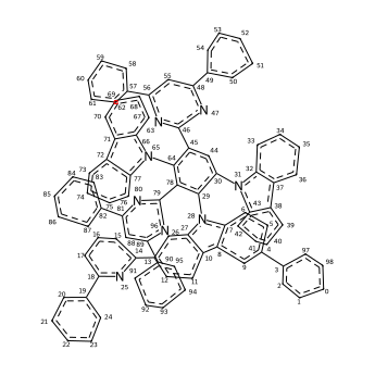 c1ccc(-c2ccc3c(c2)c2ccc(-c4cccc(-c5ccccc5)n4)cc2n3-c2c(-n3c4ccccc4c4ccccc43)cc(-c3nc(-c4ccccc4)cc(-c4ccccc4)n3)c(-n3c4ccccc4c4ccccc43)c2-c2nc(-c3ccccc3)cc(-c3ccccc3)n2)cc1